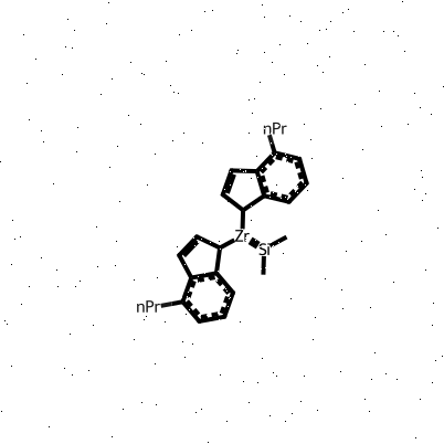 CCCc1cccc2c1C=C[CH]2[Zr]([CH]1C=Cc2c(CCC)cccc21)=[Si](C)C